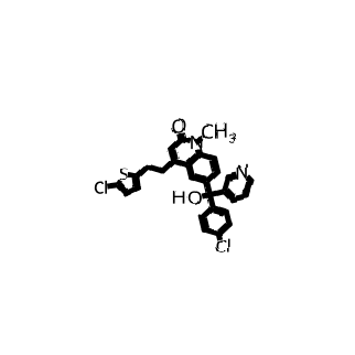 Cn1c(=O)cc(CCc2ccc(Cl)s2)c2cc(C(O)(c3ccc(Cl)cc3)c3cccnc3)ccc21